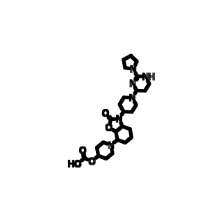 O=C(O)OC1CCN(C2CCCC3C2OC(=O)N3C2CCN(C3CCNC(N4CCCC4)=N3)CC2)CC1